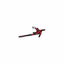 CCCC=CC(=Nc1cc(CCCCC)cc(CCCCC)c1)C(CCCCCCCCCCCCCCCCCCCCCCCCCCC)=Nc1cc(CCCCC)cc(CCCCC)c1.[Ni]